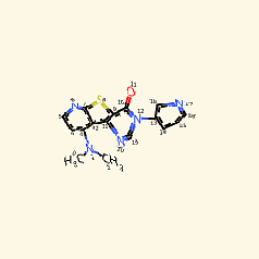 CN(C)c1ccnc2sc3c(=O)n(-c4cccnc4)cnc3c12